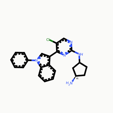 N[C@@H]1CCC(Nc2ncc(Cl)c(-c3cn(-c4ccccc4)c4ccccc34)n2)C1